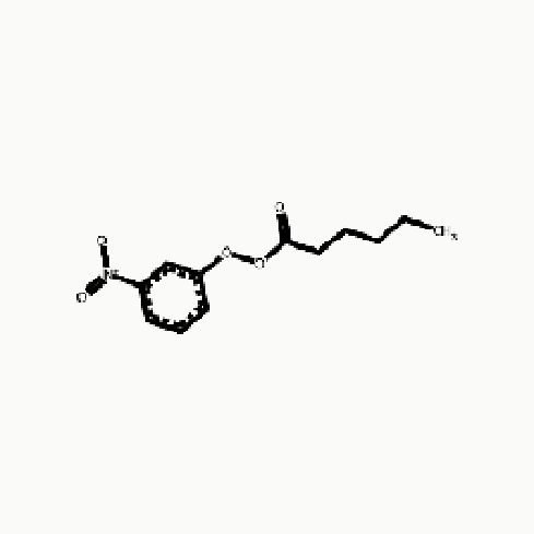 CCCCCC(=O)OOc1cccc([N+](=O)[O-])c1